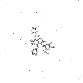 COC(=O)[C@H](Cc1cc(/C=C/c2ccncc2)c(OS(=O)(=O)F)c(/C=C/c2ccncc2)c1)NC(=O)OC(C)(C)C